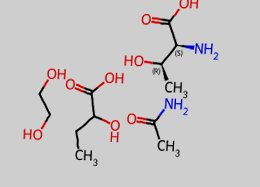 CC(N)=O.CCC(O)C(=O)O.C[C@@H](O)[C@H](N)C(=O)O.OCCO